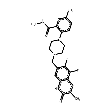 CNC(=O)c1nc(C)ccc1N1CCN(Cc2cc3[nH]c(=O)c(C)nc3c(F)c2F)CC1